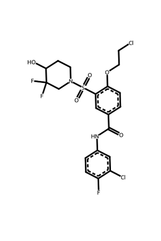 O=C(Nc1ccc(F)c(Cl)c1)c1ccc(OCCCl)c(S(=O)(=O)N2CCC(O)C(F)(F)C2)c1